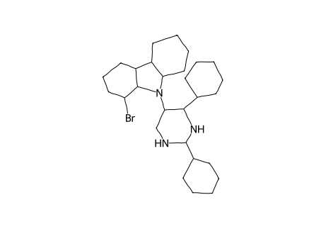 BrC1CCCC2C3CCCCC3N(C3CNC(C4CCCCC4)NC3C3CCCCC3)C12